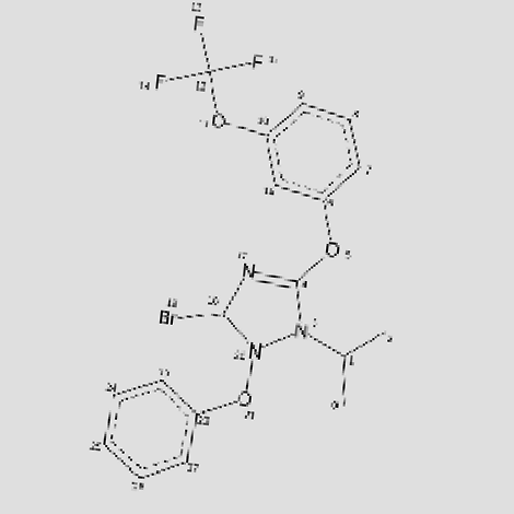 CC(C)N1C(Oc2cccc(OC(F)(F)F)c2)=NC(Br)N1Oc1ccccc1